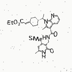 CCOC(=O)C=C1CCC(C(C)n2c(C)c(C(=O)NCc3c(SC)cc(C)[nH]c3=O)c3cccnc32)CC1